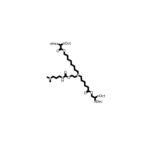 CCCCCCCCCCC(CCCCCCCC)COC(=O)CCCCCN(CCCCCCCCOC(=O)C(CCCCCC)CCCCCCCC)CCOC(=O)NCCCN(C)C